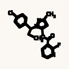 CCC(c1ccc(Cl)cc1)n1nc(C)cc1OC(=O)c1cccnc1F